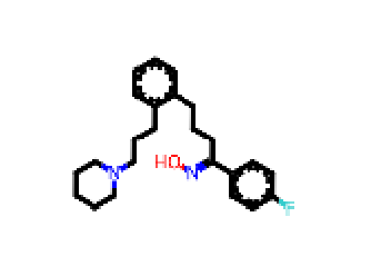 ON=C(CCCc1ccccc1CCCN1CCCCC1)c1ccc(F)cc1